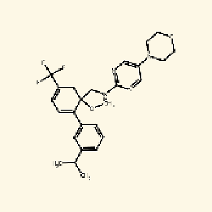 COC1(CNc2ncc(N3CCOCC3)cn2)CC(C(F)(F)F)=CC=C1c1cccc(C(C)C)c1